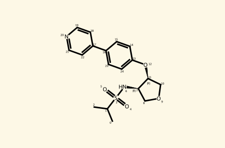 CC(C)S(=O)(=O)N[C@@H]1COC[C@@H]1Oc1ccc(-c2ccncc2)cc1